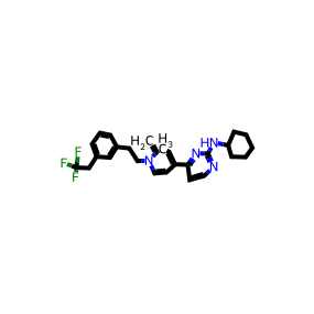 C=CN(/C=C\C(=C/C)c1ccnc(NC2CCCCC2)n1)CCc1cccc(CC(F)(F)F)c1